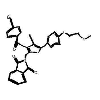 COCCOc1ccc(-c2sc(N3C(=O)c4ccccc4C3=O)c(C(=O)c3ccc(Cl)cc3)c2C)cc1